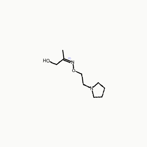 C/C(CO)=N/OCCN1CCCC1